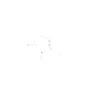 CCCCc1c[nH]n(CC)c1=O